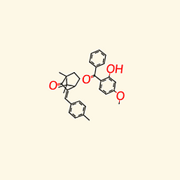 COc1ccc(C(=O)c2ccccc2)c(O)c1.Cc1ccc(C=C2C(=O)C3(C)CCC2C3(C)C)cc1